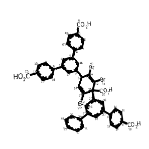 O=C(O)c1ccc(-c2cc(-c3ccc(C(=O)O)cc3)cc(C3C=C(Br)C(C(=O)O)(c4cc(-c5ccccc5)cc(-c5ccc(C(=O)O)cc5)c4)C(Br)=C3Br)c2)cc1